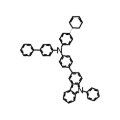 C1=CC[C@H](c2ccc(N(c3ccc(-c4ccccc4)cc3)c3ccc(-c4ccc5c(c4)c4ccccc4n5-c4ccccc4)cc3)cc2)C=C1